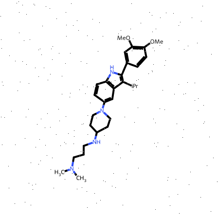 COc1ccc(-c2[nH]c3ccc(N4CCC(NCCCN(C)C)CC4)cc3c2C(C)C)cc1OC